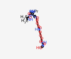 Cc1cc(C)c(CNC(=O)c2cc(C3=CCN(C(=O)COCCOCCOCC(=O)NCCOCCOCCOCCC(=O)NCC(=O)N4CC[C@@H](O)C4)CC3)cc(NC(C)C)c2C=N)c(=O)[nH]1